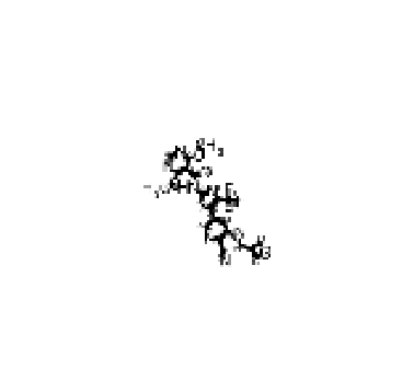 COc1ncnc(OC)c1C(=O)Nc1nc(C(F)(F)F)c(-c2cnc(C#N)c(OCC3COC3)c2)s1